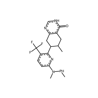 CPN(C)c1ccc(C(F)(F)F)c(C2Cc3nc[nH]c(=O)c3CC2C)n1